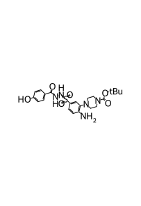 CC(C)(C)OC(=O)N1CCN(c2cc(S(=O)(=O)NNC(=O)c3ccc(O)cc3)ccc2N)CC1